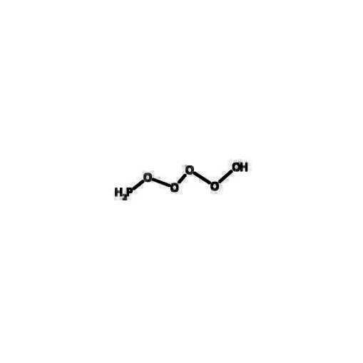 OOOOOP